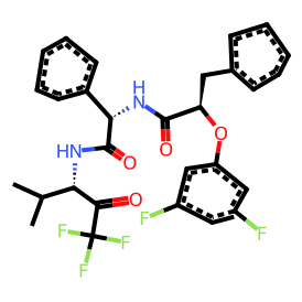 CC(C)[C@H](NC(=O)[C@@H](NC(=O)[C@@H](Cc1ccccc1)Oc1cc(F)cc(F)c1)c1ccccc1)C(=O)C(F)(F)F